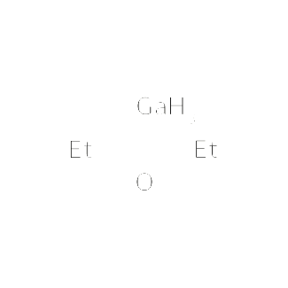 CCOCC.[GaH3]